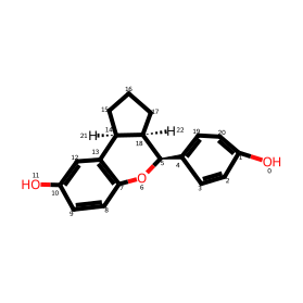 Oc1ccc([C@H]2Oc3ccc(O)cc3[C@H]3CCC[C@H]32)cc1